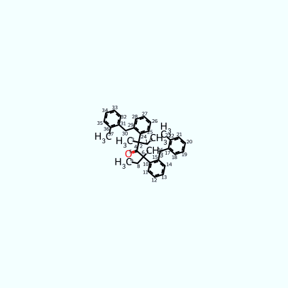 CCC(C)(C(=O)C(C)(CC)c1ccccc1Cc1ccccc1C)c1ccccc1Cc1ccccc1C